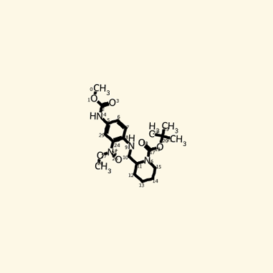 COC(=O)Nc1ccc(NCC2CCCCN2C(=O)OC(C)(C)C)c([N+](=O)OC)c1